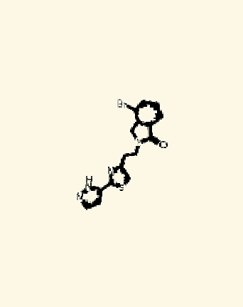 O=C1c2cccc(Br)c2CN1CCc1csc(-c2ccn[nH]2)n1